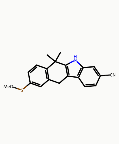 COSc1ccc2c(c1)Cc1c([nH]c3cc(C#N)ccc13)C2(C)C